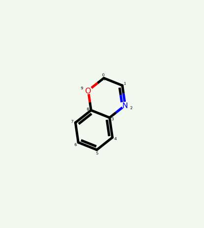 [C]1C=Nc2ccccc2O1